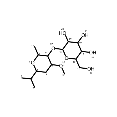 COC1CC(C(C)C)OC(C)C1OC1OC(CO)C(O)C(O)C1O